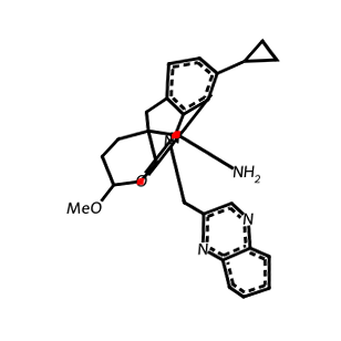 COC1CCC2(CC1)Cc1ccc(C3CC3)cc1C21N=C(N)N(Cc2cnc3ccccc3n2)C1=O